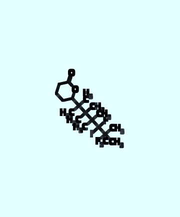 CC(C)(C1CCCC(=O)O1)C(C)(C)C(C)(C)C(F)(I)C(C)(C)C(F)(F)F